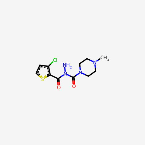 CN1CCN(C(=O)N(N)C(=O)c2sccc2Cl)CC1